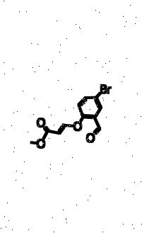 COC(=O)C=COc1ccc(Br)cc1C=O